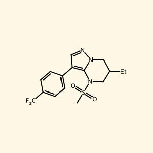 CCC1CN(S(C)(=O)=O)c2c(-c3ccc(C(F)(F)F)cc3)cnn2C1